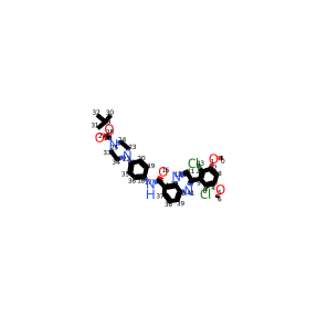 COc1cc(OC)c(Cl)c(-c2cnc3c(C(=O)Nc4ccc(N5CCN(C(=O)OC(C)(C)C)CC5)cc4)cccc3n2)c1Cl